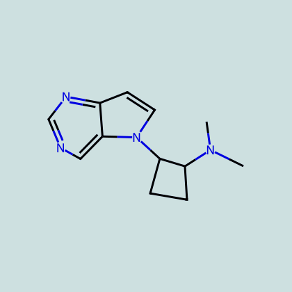 CN(C)C1CCC1n1ccc2ncncc21